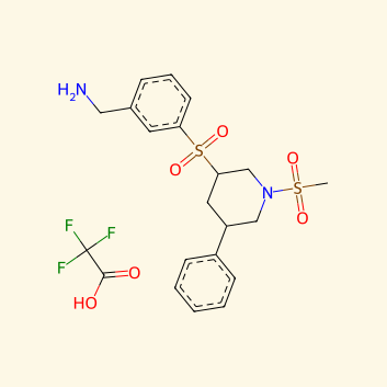 CS(=O)(=O)N1CC(c2ccccc2)CC(S(=O)(=O)c2cccc(CN)c2)C1.O=C(O)C(F)(F)F